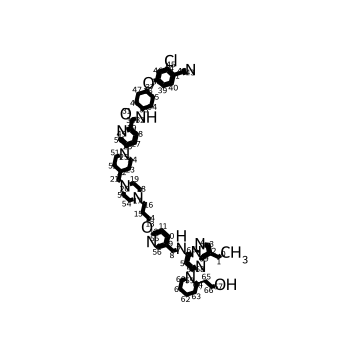 CCc1cnn2c(NCc3ccc(OCCCN4CCN(CC5CCN(c6ccc(C(=O)NC7CCC(Oc8ccc(C#N)c(Cl)c8)CC7)nc6)CC5)CC4)nc3)cc(N3CCCC[C@@H]3CCO)nc12